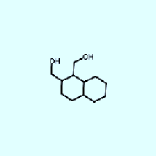 OCC1CCC2CCCCC2C1CO